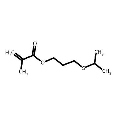 C=C(C)C(=O)OCCCSC(C)C